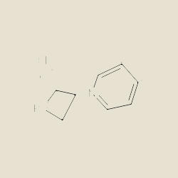 C1[CH2][Pt+2][CH2]1.[Cl-].[Cl-].c1ccncc1